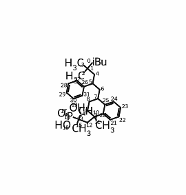 CCC(C)C(C)(C)CC(CC1CCC(C)(CC(C)(C)P(=O)(O)O)c2ccccc21)c1ccccc1